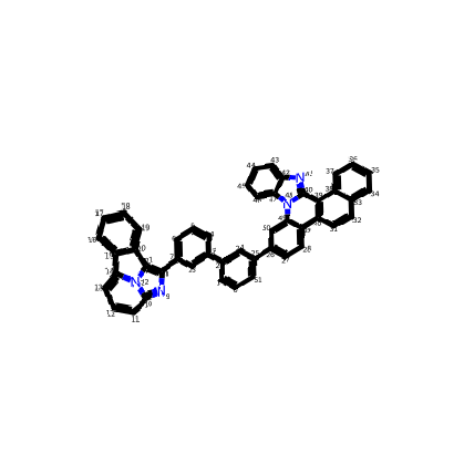 c1cc(-c2cccc(-c3nc4cccc5c6ccccc6c3n45)c2)cc(-c2ccc3c4ccc5ccccc5c4c4nc5ccccc5n4c3c2)c1